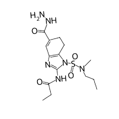 CCCN(C)S(=O)(=O)n1c(NC(=O)CC)nc2c1CCC(C(=O)NN)=C2